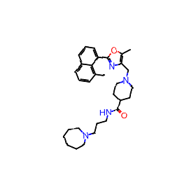 Cc1oc(-c2cccc3cccc(C)c23)nc1CN1CCC(C(=O)NCCCN2CCCCCC2)CC1